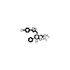 CC(C)C[C@H]1C(=O)N[C@@H](c2ccccc2)CN1Cc1cc(-c2ccc(Cl)cc2)on1